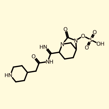 N=C(NC(=O)CC1CCNCC1)C1CCC2CN1C(=O)N2OS(=O)(=O)O